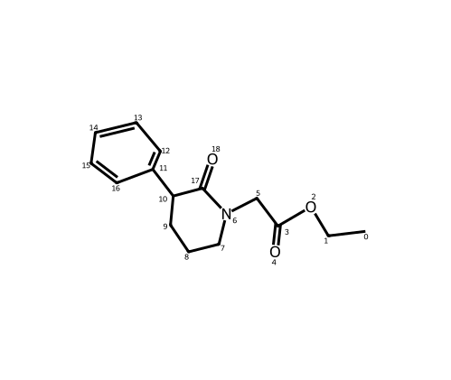 CCOC(=O)CN1CCCC(c2ccccc2)C1=O